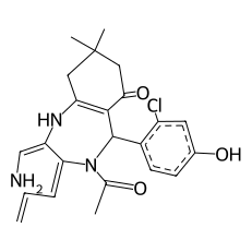 C=C/C=C1\C(=C/N)NC2=C(C(=O)CC(C)(C)C2)C(c2ccc(O)cc2Cl)N1C(C)=O